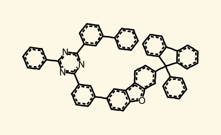 c1ccc(-c2cccc(-c3nc(-c4ccccc4)nc(-c4cccc(-c5ccc6oc7cc(C8(c9ccccc9)c9ccccc9-c9ccccc98)ccc7c6c5)c4)n3)c2)cc1